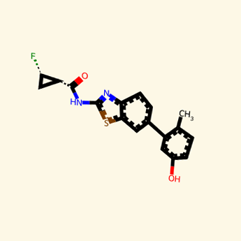 Cc1ccc(O)cc1-c1ccc2nc(NC(=O)[C@@H]3C[C@@H]3F)sc2c1